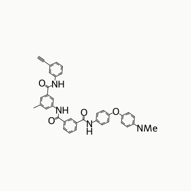 C#Cc1cccc(NC(=O)c2cc(C)cc(NC(=O)c3cccc(C(=O)Nc4ccc(Oc5ccc(NC)cc5)cc4)c3)c2)c1